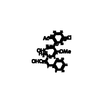 COC(=C/N(C)C(C=O)Cc1ccccc1)/C(=C\C=O)c1cc(Cl)ccc1C(C)=O